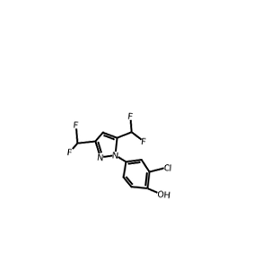 Oc1ccc(-n2nc(C(F)F)cc2C(F)F)cc1Cl